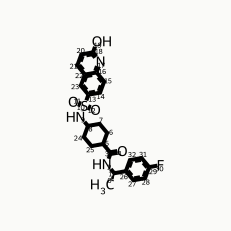 C[C@@H](NC(=O)C1CCC(NS(=O)(=O)c2ccc3nc(O)ccc3c2)CC1)c1ccc(F)cc1